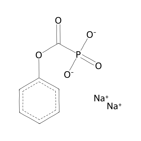 O=C(Oc1ccccc1)P(=O)([O-])[O-].[Na+].[Na+]